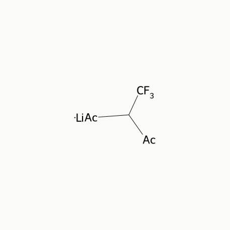 CC(=O)C(C(C)=O)C(F)(F)F.[Li]